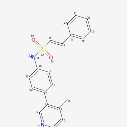 Cc1ccncc1-c1ccc(NS(=O)(=O)C=Cc2ccccc2)cc1